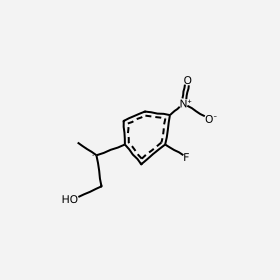 C[C](CO)c1ccc([N+](=O)[O-])c(F)c1